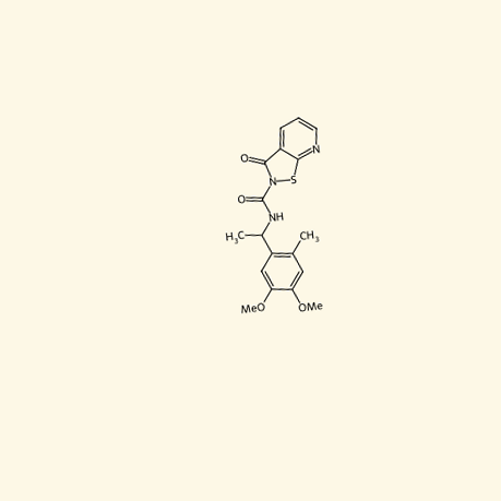 COc1cc(C)c(C(C)NC(=O)n2sc3ncccc3c2=O)cc1OC